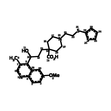 COc1ccc2ncc(C)c(C(O)CCC3(C(=O)O)CCN(CCSc4cccs4)CC3)c2c1